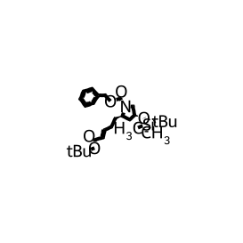 CC(C)(C)OC(=O)C=CCC[C@@H]1C[C@@H](O[Si](C)(C)C(C)(C)C)CN1C(=O)OCc1ccccc1